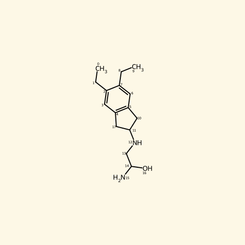 CCc1cc2c(cc1CC)CC(NCC(N)O)C2